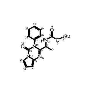 CC(NC(=O)OC(C)(C)C)c1nc2cccn2c(=O)n1-c1ccccc1